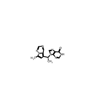 Cc1cc([C@H](C)n2cnc3c(=O)[nH]cnc32)c2cncnn12